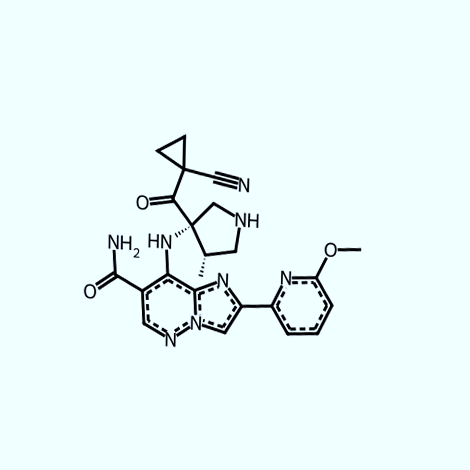 COc1cccc(-c2cn3ncc(C(N)=O)c(N[C@]4(C(=O)C5(C#N)CC5)CNC[C@@H]4C)c3n2)n1